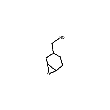 O=NCC1CCC2OC2C1